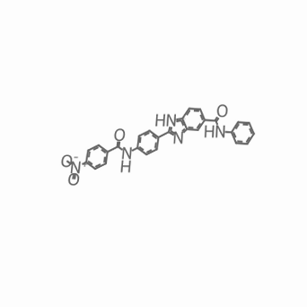 O=C(Nc1ccc(-c2nc3cc(C(=O)Nc4ccccc4)ccc3[nH]2)cc1)c1ccc([N+](=O)[O-])cc1